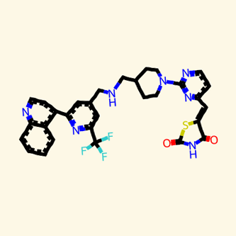 O=C1NC(=O)C(=Cc2ccnc(N3CCC(CNCc4cc(-c5ccnc6ccccc56)nc(C(F)(F)F)c4)CC3)n2)S1